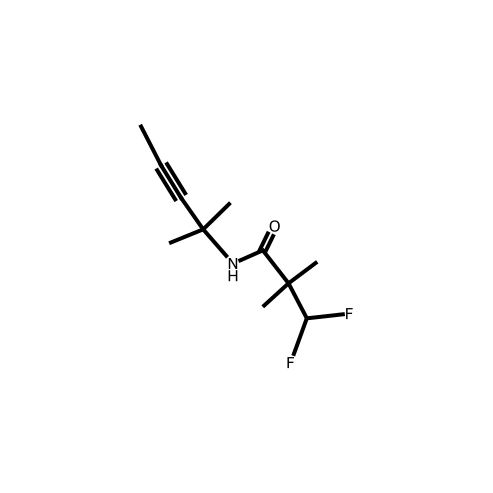 CC#CC(C)(C)NC(=O)C(C)(C)C(F)F